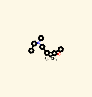 CC1(C)c2ccc(-c3ccc(N(c4ccccc4)c4cccc(-c5ccccc5)c4)cc3)cc2-c2cc3c(cc21)oc1ccccc13